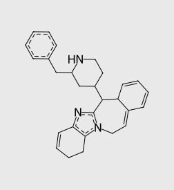 C1=CC2=CCn3c(nc4c3CCC=C4)C(C3CCNC(Cc4ccccc4)C3)C2C=C1